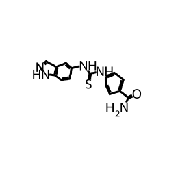 NC(=O)c1ccc(NC(=S)Nc2ccc3[nH]ncc3c2)cc1